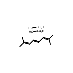 CC(C)=C/C=C/C=C(C)C.O=C(O)O.O=C(O)O